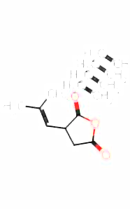 C=C.C=C.C=C.C=C.CC(C)=CC1CC(=O)OC1=O